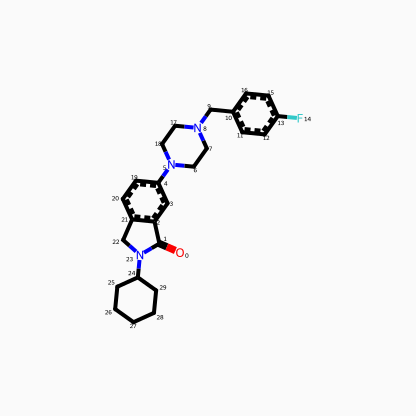 O=C1c2cc(N3CCN(Cc4ccc(F)cc4)CC3)ccc2CN1C1CCCCC1